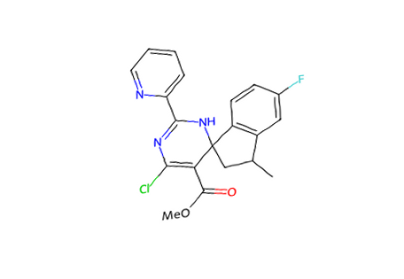 COC(=O)C1=C(Cl)N=C(c2ccccn2)NC12CC(C)c1cc(F)ccc12